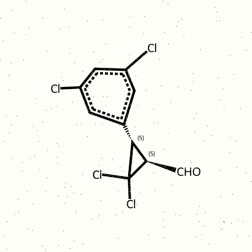 O=C[C@@H]1[C@@H](c2cc(Cl)cc(Cl)c2)C1(Cl)Cl